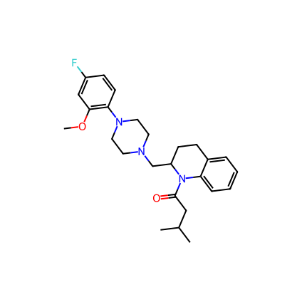 COc1cc(F)ccc1N1CCN(CC2CCc3ccccc3N2C(=O)CC(C)C)CC1